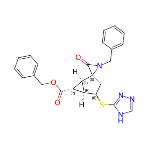 O=C(OCc1ccccc1)[C@H]1[C@H]2[C@@H]1[C@@]1(C[C@H]2Sc2nnc[nH]2)C(=O)N1Cc1ccccc1